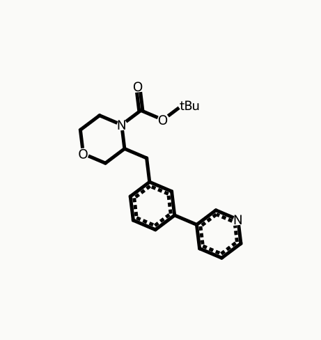 CC(C)(C)OC(=O)N1CCOCC1Cc1cccc(-c2cccnc2)c1